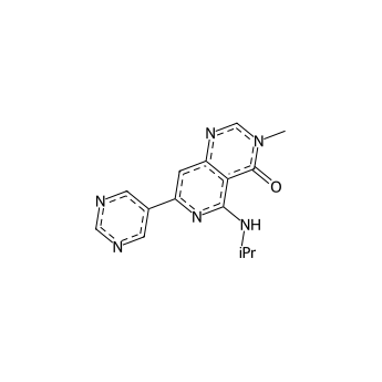 CC(C)Nc1nc(-c2cncnc2)cc2ncn(C)c(=O)c12